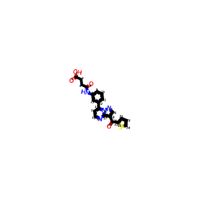 O=C(O)CCC(=O)Nc1cccc(-c2ccnc3c(C(=O)c4cccs4)cnn23)c1